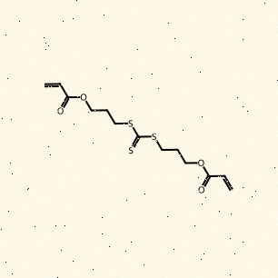 C=CC(=O)OCCCSC(=S)SCCCOC(=O)C=C